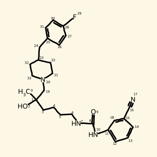 CC(O)(CCCCNC(=O)Nc1cccc(C#N)c1)CN1CCC(Cc2ccc(F)cc2)CC1